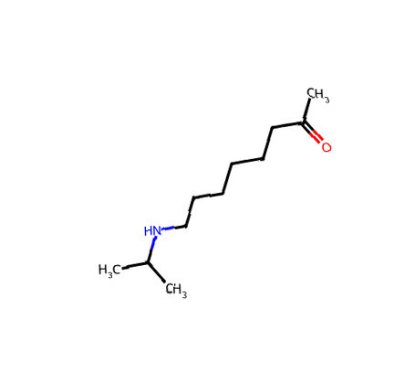 CC(=O)CCCCCCNC(C)C